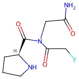 NC(=O)CN(C(=O)CF)C(=O)[C@@H]1CCCN1